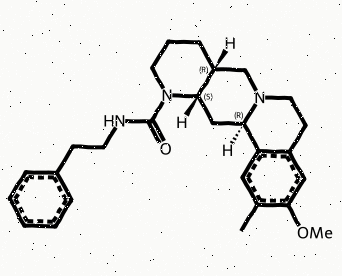 COc1cc2c(cc1C)[C@H]1C[C@H]3[C@H](CCCN3C(=O)NCCc3ccccc3)CN1CC2